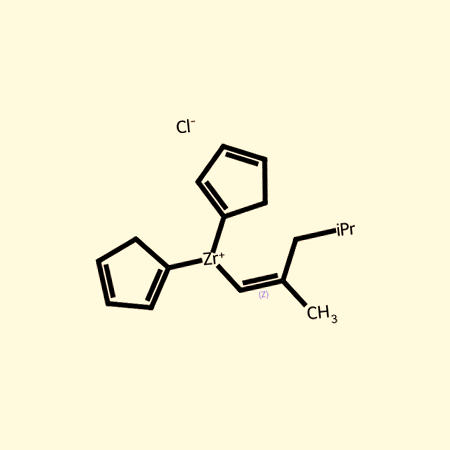 C/C(=[CH]/[Zr+]([C]1=CC=CC1)[C]1=CC=CC1)CC(C)C.[Cl-]